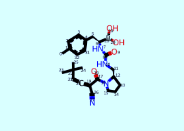 Cc1ccc(C[C@H](NC(=O)NC[C@H]2CCCN2C(=O)C(=C=CC(C)(C)C)C#N)B(O)O)cc1